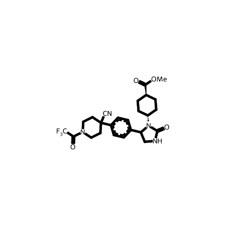 COC(=O)[C@H]1CC[C@H](N2C(=O)NCC2c2ccc(C3(C#N)CCN(C(=O)C(F)(F)F)CC3)cc2)CC1